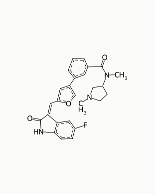 CN1CCC(N(C)C(=O)c2cccc(-c3coc(/C=C4/C(=O)Nc5ccc(F)cc54)c3)c2)C1